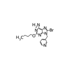 CCCCOc1nc(N)c2nc(Br)n(Cc3cccnc3)c2n1